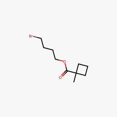 CC1(C(=O)OCCCCBr)CCC1